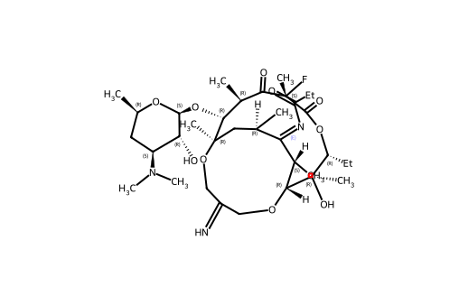 CCC(=O)/N=C1\[C@H](C)C[C@@]2(C)OCC(=N)CO[C@H]([C@H]1C)[C@](C)(O)[C@@H](CC)OC(=O)[C@@](C)(F)C(=O)[C@H](C)[C@H]2O[C@@H]1O[C@H](C)C[C@H](N(C)C)[C@H]1O